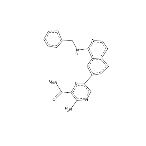 CNC(=O)c1nc(-c2ccc3ccnc(NCc4ccccc4)c3c2)cnc1N